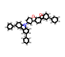 C1=CC2Oc3c(ccc4c3oc3ccc(-c5ccccc5)cc34)C2C=C1n1c2ccc(-c3ccccc3)cc2c2cc(-c3ccccc3)ccc21